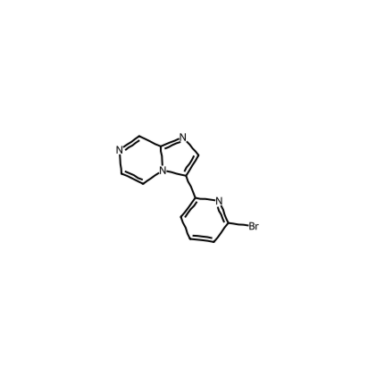 Brc1cccc(-c2cnc3cnccn23)n1